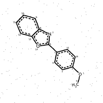 COc1ccc(-c2nc3cc[c]cc3o2)cc1